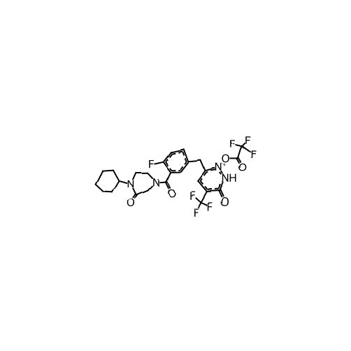 O=C(c1cc(Cc2cc(C(F)(F)F)c(=O)[nH][n+]2OC(=O)C(F)(F)F)ccc1F)N1CCN(C2CCCCC2)C(=O)C1